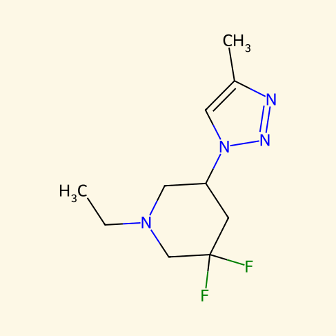 CCN1CC(n2cc(C)nn2)CC(F)(F)C1